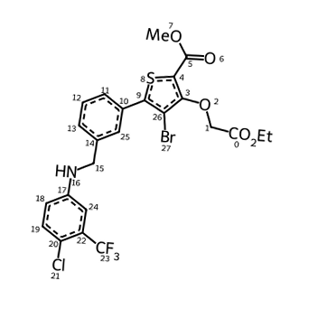 CCOC(=O)COc1c(C(=O)OC)sc(-c2cccc(CNc3ccc(Cl)c(C(F)(F)F)c3)c2)c1Br